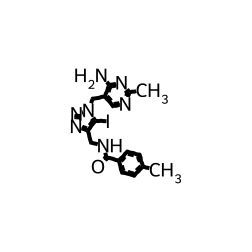 Cc1ccc(C(=O)NCc2nnn(Cc3cnc(C)nc3N)c2I)cc1